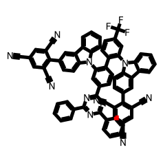 N#Cc1cc(C#N)c(-c2ccc3c(c2)c2ccccc2n3-c2cc(-c3nc(-c4ccccc4)nc(-c4ccccc4)n3)ccc2-c2ccc(C(F)(F)F)cc2-n2c3ccccc3c3cc(-c4c(C#N)cc(C#N)cc4C#N)ccc32)c(C#N)c1